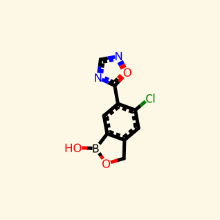 OB1OCc2cc(Cl)c(-c3ncno3)cc21